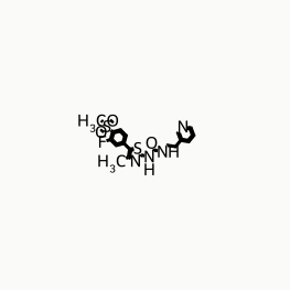 Cc1nc(NC(=O)NCCc2cccnc2)sc1-c1ccc(S(C)(=O)=O)c(F)c1